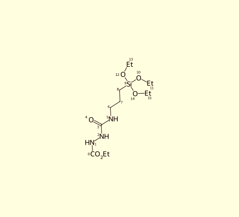 CCOC(=O)NNC(=O)NCCC[Si](OCC)(OCC)OCC